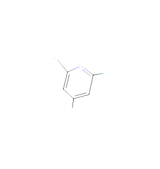 Clc1cc(I)cc(Br)n1